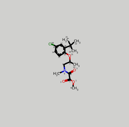 COC(=O)C(=O)N(C)CC(C)Oc1ccc(Cl)cc1C(C)(C)C